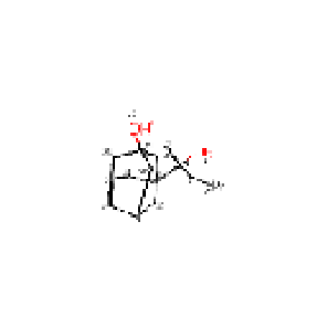 CC(C)CC(C)(O)C12CC3CC(CC(O)(C3)C1)C2